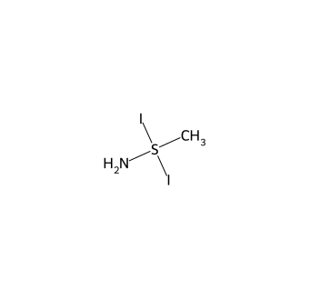 CS(N)(I)I